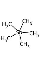 [CH3][Sb]([CH3])([CH3])([CH3])[CH3]